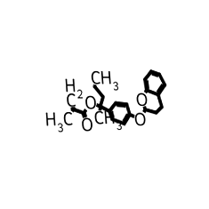 C=C(C)C(=O)OC(C)(CCC)c1ccc(OC2CCc3ccccc3O2)cc1